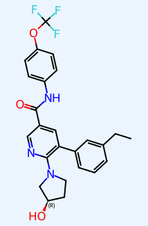 CCc1cccc(-c2cc(C(=O)Nc3ccc(OC(F)(F)F)cc3)cnc2N2CC[C@@H](O)C2)c1